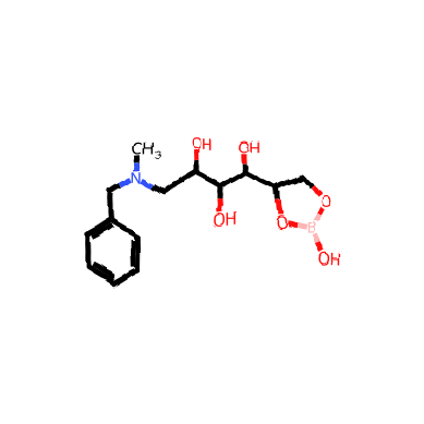 CN(Cc1ccccc1)CC(O)C(O)C(O)C1COB(O)O1